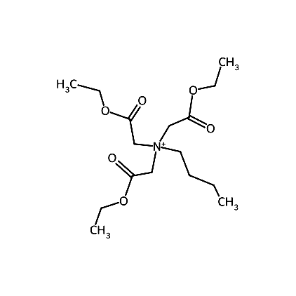 CCCC[N+](CC(=O)OCC)(CC(=O)OCC)CC(=O)OCC